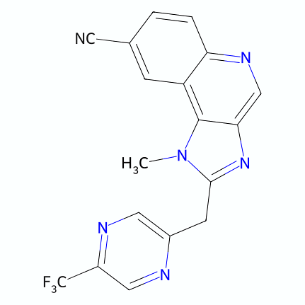 Cn1c(Cc2cnc(C(F)(F)F)cn2)nc2cnc3ccc(C#N)cc3c21